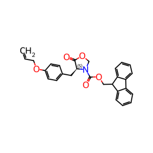 C=CCOc1ccc(C[C@H]2C(=O)OCN2C(=O)OCC2c3ccccc3-c3ccccc32)cc1